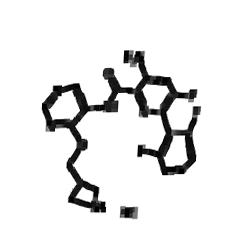 Cl.Nc1cc(F)c(-c2c(F)cccc2F)nc1C(=O)Nc1cncnc1OCC1CNC1